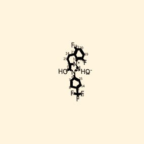 Oc1c2[n+](nn1-c1ccc(C(F)(F)F)cc1)-c1c(F)ccc(F)c1CC2.[OH-]